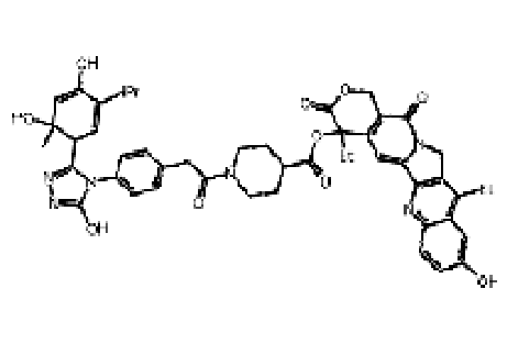 CCc1c2c(nc3ccc(O)cc13)-c1cc3c(c(=O)n1C2)COC(=O)C3(CC)OC(=O)C1CCN(C(=O)Cc2ccc(-n3c(O)nnc3C3C=C(C(C)C)C(O)=CC3(C)O)cc2)CC1